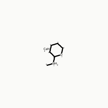 C[SiH2]C1CCCCO1.[CaH2]